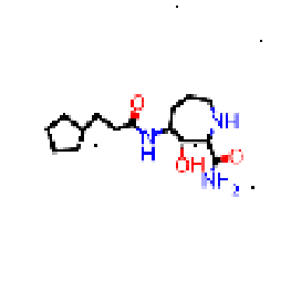 NC(=O)C1NCCCC(NC(=O)[CH]CC2CCCC2)[C@@H]1O